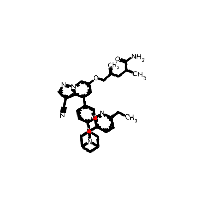 C=C(COc1cc(-c2ccc(N3CC4CC(C3)N4Cc3ccc(CC)nc3)nc2)c2c(C#N)cnn2c1)CC(C)C(N)=O